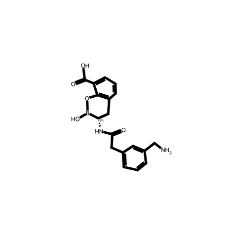 NCc1cccc(CC(=O)N[C@H]2Cc3cccc(C(=O)O)c3OB2O)c1